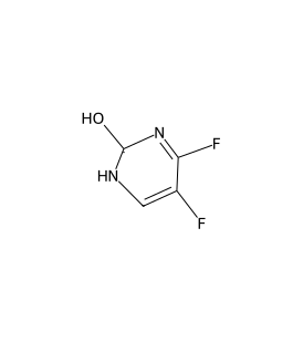 O[C]1N=C(F)C(F)=CN1